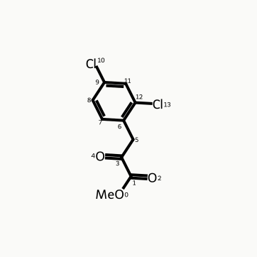 COC(=O)C(=O)Cc1ccc(Cl)cc1Cl